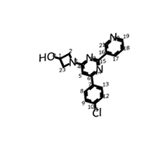 OC1CN(c2cc(-c3ccc(Cl)cc3)nc(-c3cccnc3)n2)C1